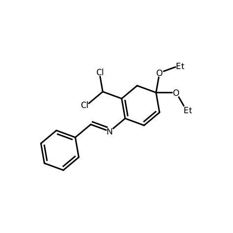 CCOC1(OCC)C=CC(N=Cc2ccccc2)=C(C(Cl)Cl)C1